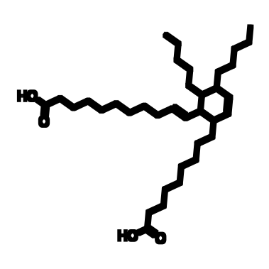 CCCCCC1C=CC(CCCCCCCCC(=O)O)C(C=CCCCCCCCCC(=O)O)C1CCCCC